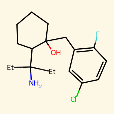 CCC(N)(CC)C1CCCCC1(O)Cc1cc(Cl)ccc1F